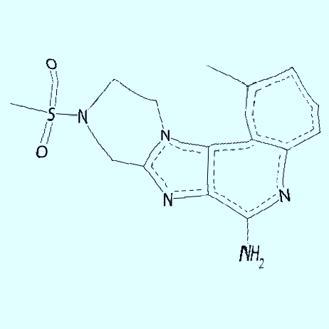 Cc1cccc2nc(N)c3nc4n(c3c12)CCN(S(C)(=O)=O)C4